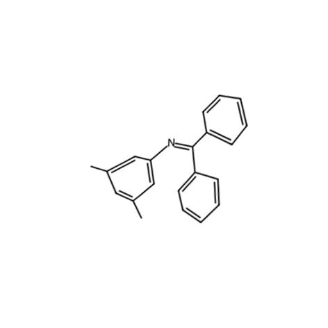 Cc1cc(C)cc(N=C(c2ccccc2)c2ccccc2)c1